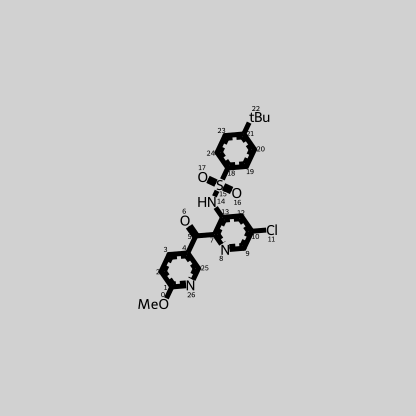 COc1ccc(C(=O)c2ncc(Cl)cc2NS(=O)(=O)c2ccc(C(C)(C)C)cc2)cn1